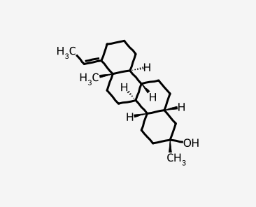 C/C=C1\CCC[C@H]2[C@@H]3CC[C@@H]4C[C@](C)(O)CC[C@@H]4[C@H]3CC[C@]12C